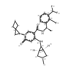 C[C@@H](NC(=O)c1cn([C@H]2CC23CCC3)c(=O)cc1NC1[C@H]2CN(C)C[C@@H]12)c1cccc(C(F)F)c1F